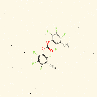 Cc1c(F)c(F)c(F)c(OC(=O)Oc2c(F)c(C)c(F)c(F)c2F)c1F